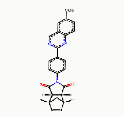 COc1ccc2nc(-c3ccc(N4C(=O)[C@@H]5[C@H](C4=O)[C@@H]4C=C[C@H]5C4)cc3)ncc2c1